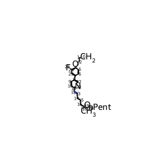 C=CCOc1ccc(-c2ccc(/C=C/CCCC(C)OCCCCC)nc2)cc1F